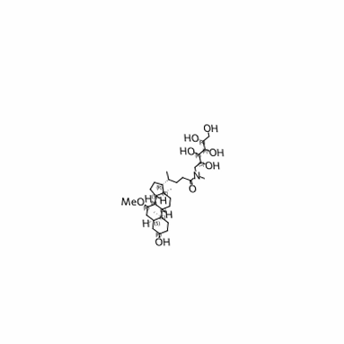 CO[C@@H]1C[C@@H]2C[C@H](O)CC[C@]2(C)[C@H]2CC[C@]3(C)[C@@H](C(C)CCC(=O)N(C)C[C@H](O)[C@@H](O)[C@H](O)[C@H](O)CO)CC[C@H]3[C@H]12